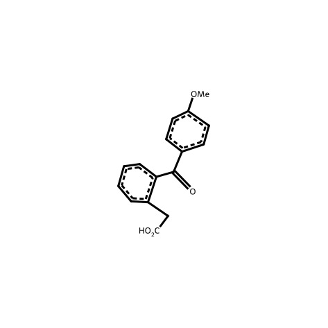 COc1ccc(C(=O)c2ccccc2CC(=O)O)cc1